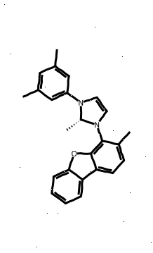 Cc1cc(C)cc(N2C=CN(c3c(C)ccc4c3oc3ccccc34)[C@@H]2C)c1